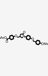 COC(=O)c1ccc(OCC2CC(=O)N(c3ccc(OCc4ccc(OC)cc4)cc3)C2)cc1